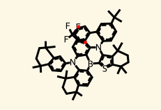 CC(C)(C)c1ccc(N2c3cc(C(F)(F)F)cc4c3B(c3ccc5c(c3N4c3ccc4c(c3)C(C)(C)CCC4(C)C)C(C)(C)CCC5(C)C)c3sc4c(c32)C(C)(C)CCC4(C)C)c(-c2ccccc2)c1